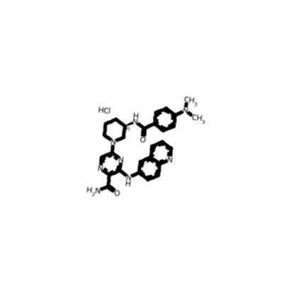 CN(C)c1ccc(C(=O)N[C@@H]2CCCN(c3cnc(C(N)=O)c(Nc4ccc5ncccc5c4)n3)C2)cc1.Cl